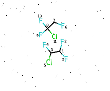 FC(F)C(F)Cl.FCC(F)(F)Cl